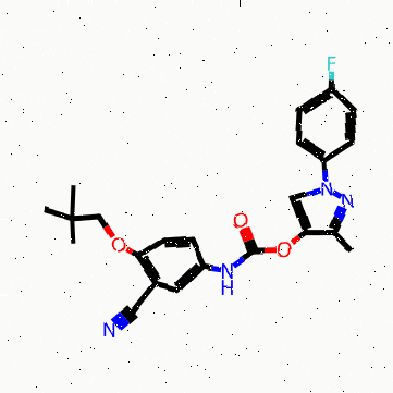 Cc1nn(-c2ccc(F)cc2)cc1OC(=O)Nc1ccc(OCC(C)(C)C)c(C#N)c1